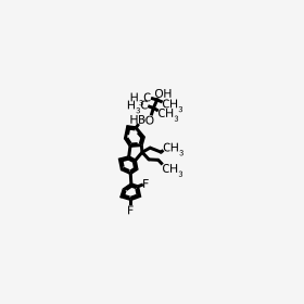 CCCC1(CCC)c2cc(BOC(C)(C)C(C)(C)O)ccc2-c2ccc(-c3ccc(F)cc3F)cc21